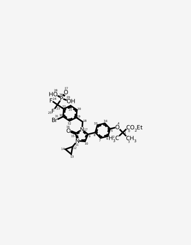 CCOC(=O)C(C)(C)Oc1ccc(-c2cn(C3CC3)c(=O)n2Cc2ccc(C(F)(F)P(=O)(O)O)c(Br)c2)cc1